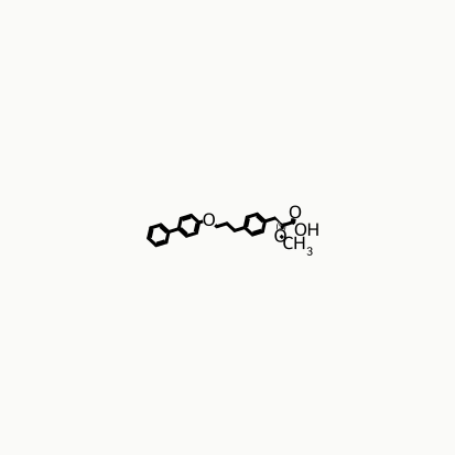 CO[C@@H](Cc1ccc(CCCOc2ccc(-c3ccccc3)cc2)cc1)C(=O)O